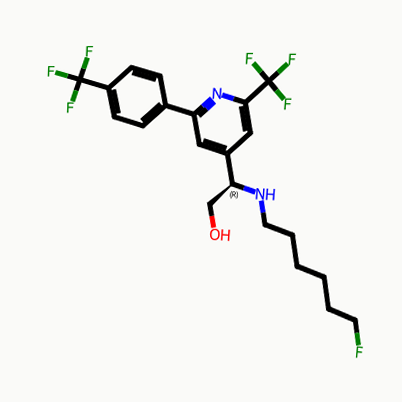 OC[C@H](NCCCCCCF)c1cc(-c2ccc(C(F)(F)F)cc2)nc(C(F)(F)F)c1